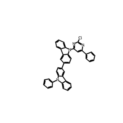 Clc1nc(-c2ccccc2)cc(-n2c3ccccc3c3cc(-c4ccc5c(c4)c4ccccc4n5-c4ccccc4)ccc32)n1